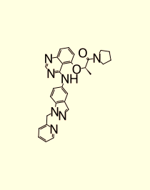 C[C@@H](Oc1cccc2ncnc(Nc3ccc4c(cnn4Cc4ccccn4)c3)c12)C(=O)N1CCCC1